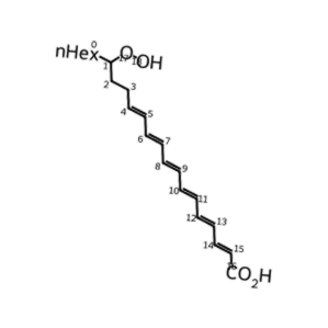 CCCCCCC(CCC=CC=CC=CC=CC=CC=CC(=O)O)OO